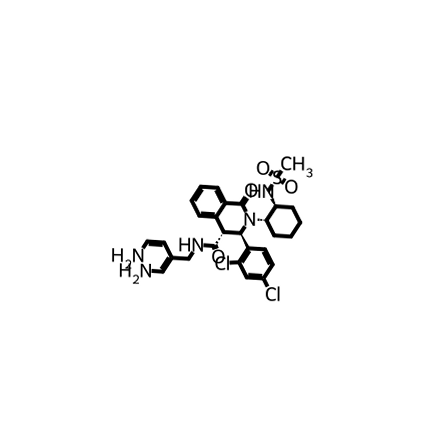 CS(=O)(=O)N[C@H]1CCCC[C@@H]1N1C(=O)c2ccccc2[C@@H](C(=O)NCC(/C=C\N)=C/N)[C@@H]1c1ccc(Cl)cc1Cl